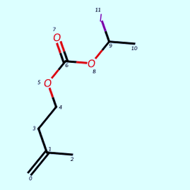 C=C(C)CCOC(=O)OC(C)I